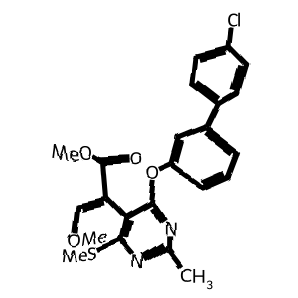 CO/C=C(/C(=O)OC)c1c(Oc2cccc(-c3ccc(Cl)cc3)c2)nc(C)nc1SC